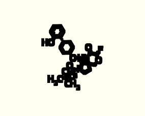 CC(C)(C)OC(=O)N1CCC2(COC(F)C(=O)N2)C1CO[C@H]1CC[C@@H](c2ccccc2O)CC1